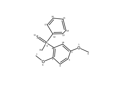 COc1ccc(OC)c(P(C)(=S)c2ccccc2)c1